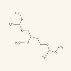 COC(C)OCCC(COC(C)OC)PC